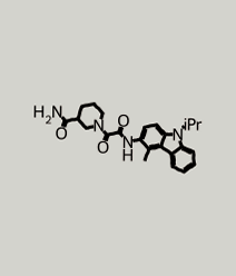 Cc1c(NC(=O)C(=O)N2CCCC(C(N)=O)C2)ccc2c1c1ccccc1n2C(C)C